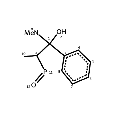 CNC(O)(c1ccccc1)C(C)P=O